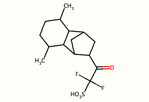 CC1CCC(C)C2C3CC(CC3C(=O)C(F)(F)S(=O)(=O)O)C12